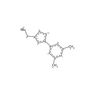 Cc1cc(C)cc(-c2cc(CC(C)(C)C)cs2)c1